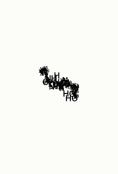 Cc1ncc(C(=O)NCCN2CCCC2(C)C)cc1Nc1nn(C)c2c1cnn1cc(-c3cnn(CC(O)CO)c3)cc21